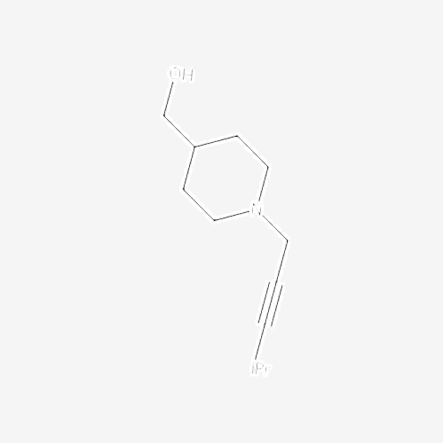 CC(C)C#CCN1CCC(CO)CC1